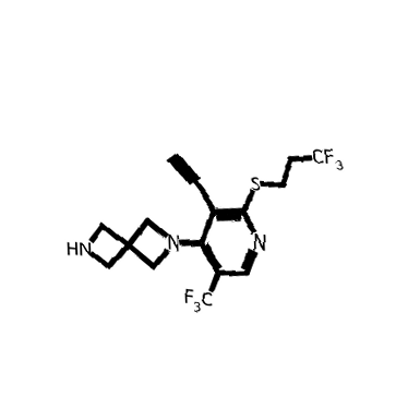 C#Cc1c(SCCC(F)(F)F)ncc(C(F)(F)F)c1N1CC2(CNC2)C1